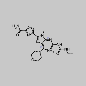 C=C(/N=C1\C(=C(/N)N2CCOCC2)N=C(c2nc(C(N)=O)cs2)N1C)NC(=O)NCC